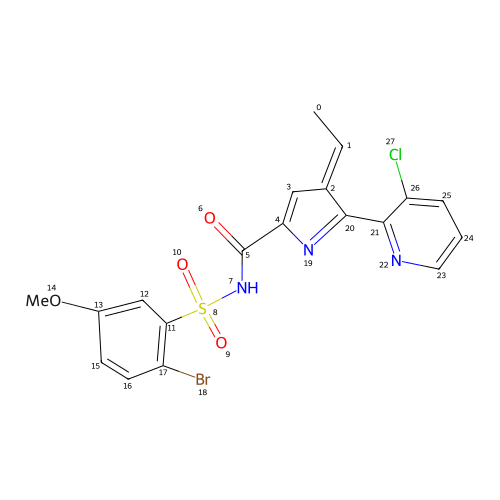 C/C=C1\C=C(C(=O)NS(=O)(=O)c2cc(OC)ccc2Br)N=C1c1ncccc1Cl